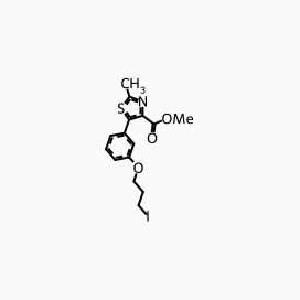 COC(=O)c1nc(C)sc1-c1cccc(OCCCI)c1